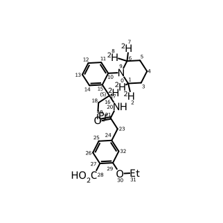 [2H]C1([2H])CCCC([2H])([2H])N1c1ccccc1[C@]([2H])(CC(C)C)NC(=O)Cc1ccc(C(=O)O)c(OCC)c1